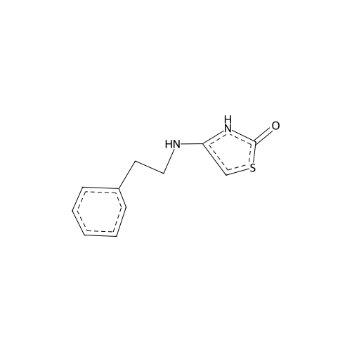 O=c1[nH]c(NCCc2ccccc2)cs1